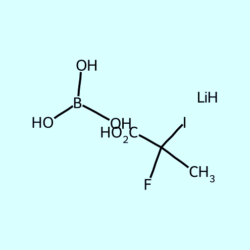 CC(F)(I)C(=O)O.OB(O)O.[LiH]